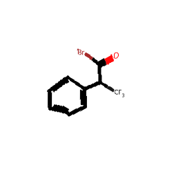 O=C(Br)C(c1ccccc1)C(F)(F)F